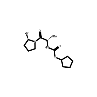 CC(=O)[C@@H]1CCCN1C(=O)[C@@H](NC(=O)OC1CCCC1)C(C)(C)C